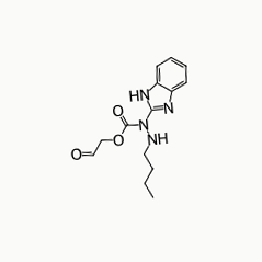 CCCCNN(C(=O)OCC=O)c1nc2ccccc2[nH]1